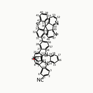 N#Cc1ccc2c(c1)c1ccccc1n2-c1ccccc1-n1c2ccccc2c2cc(-c3ccc4c(c3)C3(c5ccccc5S4)c4cccnc4-c4ncccc43)ccc21